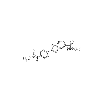 C[S+]([O-])Nc1ccc(-c2cc3cc(C(=O)NO)ccc3s2)cc1